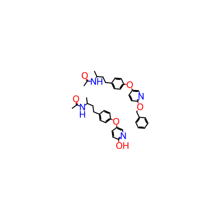 CC(=O)NC(C)CCc1ccc(Oc2ccc(O)nc2)cc1.CC(=O)NC(C)CCc1ccc(Oc2ccc(OCc3ccccc3)nc2)cc1